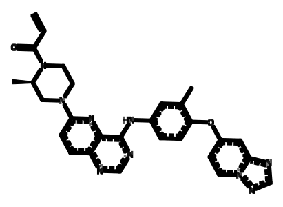 C=CC(=O)N1CCN(c2ccc3ncnc(Nc4ccc(Oc5ccn6ncnc6c5)c(C)c4)c3n2)C[C@H]1C